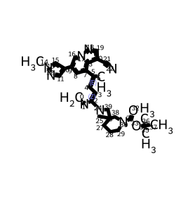 C=N/C(=C\C=C(/C)c1cc(-c2cnn(C)c2)cn2ncc(C#N)c12)N1CC2(CCCN(C(=O)OC(C)(C)C)C2)C1